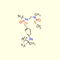 CSC(=O)N(C)CCN(C)C(=O)OCc1ccc(NC(C)(C)C)cc1